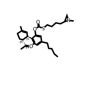 C=C(C)[C@@H]1CCC(C)=C[C@H]1c1c(O)cc(CCCCC)cc1OC(=O)SCCCCC1CN1C